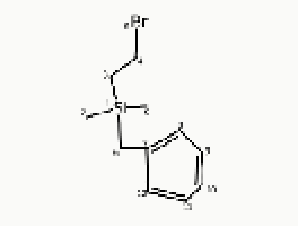 C[Si](C)(CCBr)Cc1ccccc1